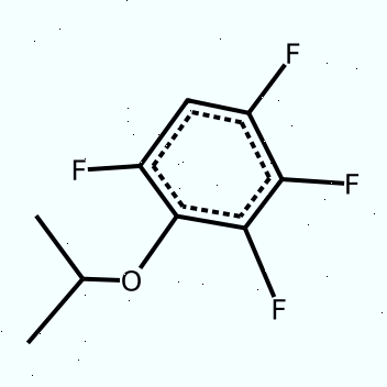 CC(C)Oc1c(F)cc(F)c(F)c1F